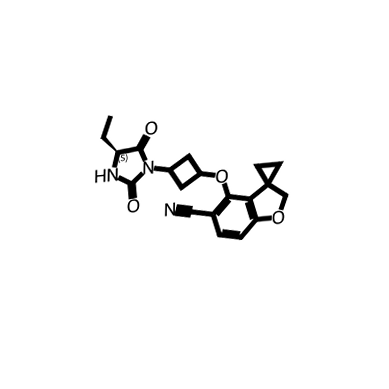 CC[C@@H]1NC(=O)N(C2CC(Oc3c(C#N)ccc4c3C3(CC3)CO4)C2)C1=O